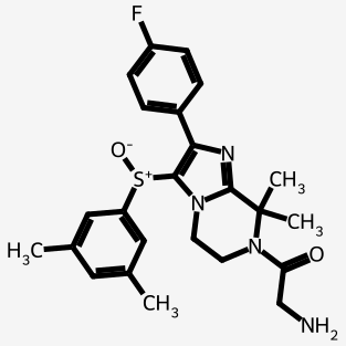 Cc1cc(C)cc([S+]([O-])c2c(-c3ccc(F)cc3)nc3n2CCN(C(=O)CN)C3(C)C)c1